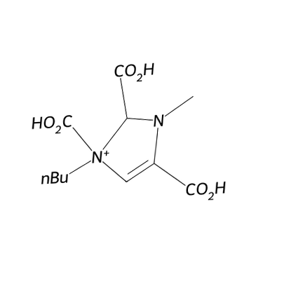 CCCC[N+]1(C(=O)O)C=C(C(=O)O)N(C)C1C(=O)O